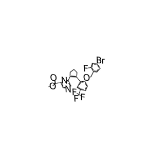 COC(=O)c1cncc(C2=C(c3cc(C(F)(F)F)ccc3OCc3ccc(Br)cc3F)CCC2)n1